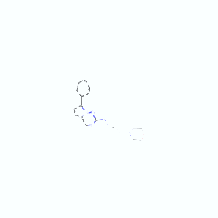 c1ccc(-c2ccc3cnc(NCCCN4CCOCC4)nn23)cc1